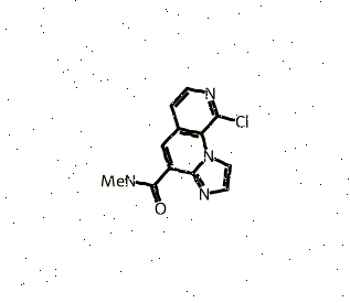 CNC(=O)c1cc2ccnc(Cl)c2n2ccnc12